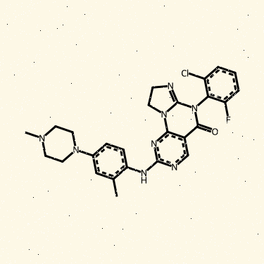 Cc1cc(N2CCN(C)CC2)ccc1Nc1ncc2c(n1)N1CCN=C1N(c1c(F)cccc1Cl)C2=O